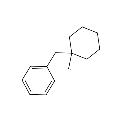 [CH2]C1(Cc2ccccc2)CCCCC1